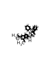 CCC1CN(C(C)=O)Cc2ccc(Nc3ncc4c5ccncc5n(C5CCCCC5)c4n3)nc21